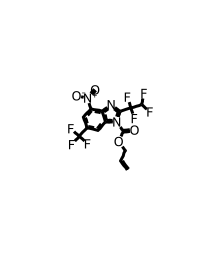 C=CCOC(=O)n1c(C(F)(F)C(F)F)nc2c([N+](=O)[O-])cc(C(F)(F)F)cc21